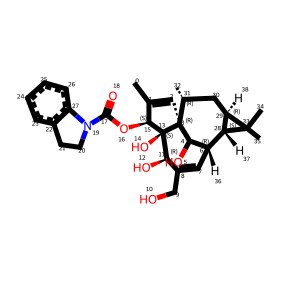 CC1=C[C@]23C(O)[C@@H](C=C(CO)[C@@H](O)[C@]2(O)[C@H]1OC(=O)N1CCc2ccccc21)[C@@H]1[C@@H](C[C@H]3C)C1(C)C